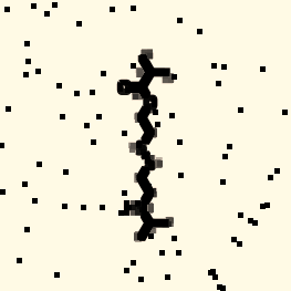 CC(C)NCCSSCCOC(=O)C(C)C